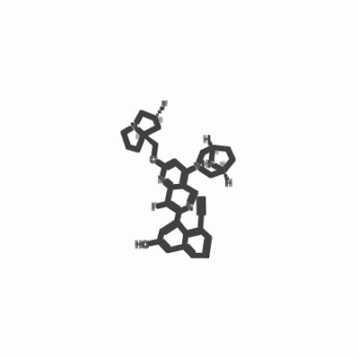 C#Cc1cccc2cc(O)cc(-c3ncc4c(N5C[C@H]6CC[C@@H](C5)N6)cc(OC[C@@]56CCCN5C[C@H](F)C6)nc4c3F)c12